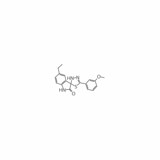 CCc1ccc2c(c1)C1(NN=C(c3cccc(OC)c3)S1)C(=O)N2